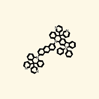 c1ccc([Si]2(c3ccccc3)c3ccccc3-c3cc4c(cc32)N(c2ccc3cc5cc(N6c7ccccc7C(c7cccnc7)(c7cccnc7)c7ccccc76)ccc5cc3c2)c2ccccc2C4(c2cccnc2)c2cccnc2)cc1